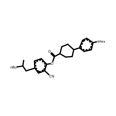 CCCCCCc1ccc(C2CCC(C(=O)Oc3ccc(CC(C)CCCC)cc3C#N)CC2)cc1